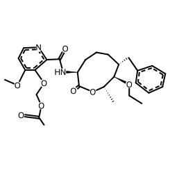 CCO[C@@H]1[C@@H](Cc2ccccc2)CCC[C@H](NC(=O)c2nccc(OC)c2OCOC(C)=O)C(=O)O[C@H]1C